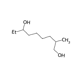 CCC(O)CCCCC(C)CO